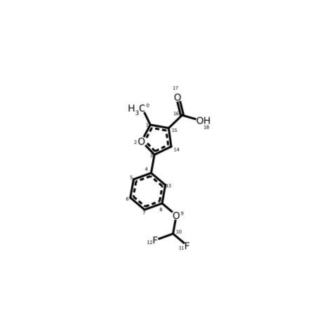 Cc1oc(-c2cccc(OC(F)F)c2)cc1C(=O)O